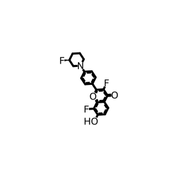 O=c1c(F)c(-c2ccc(N3CCC[C@H](F)C3)cc2)oc2c(F)c(O)ccc12